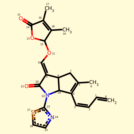 C=C/C=C\C1=C(C)CC2/C(=C\OC3OC(=O)C(C)=C3C)C(=O)N(c3nccs3)C12